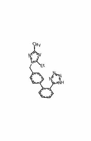 CCc1nc(O)nn1Cc1ccc(-c2ccccc2-c2nnn[nH]2)cc1